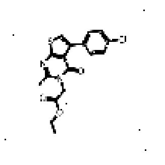 CCOC(=O)Cn1c(C)nc2scc(-c3ccc(Cl)cc3)c2c1=O